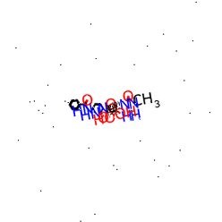 CNC(=O)NC[C@H]1O[C@@H](N2C=CC(NC(=O)c3ccccc3)NC2=O)[C@@H](O)C1O